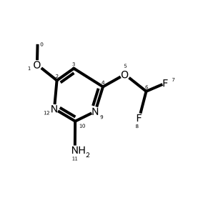 COc1cc(OC(F)F)nc(N)n1